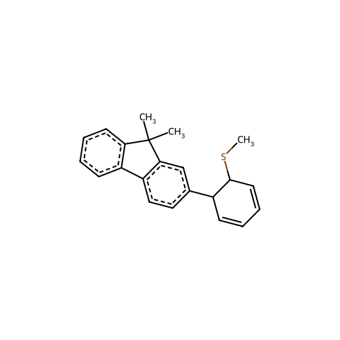 CSC1C=CC=CC1c1ccc2c(c1)C(C)(C)c1ccccc1-2